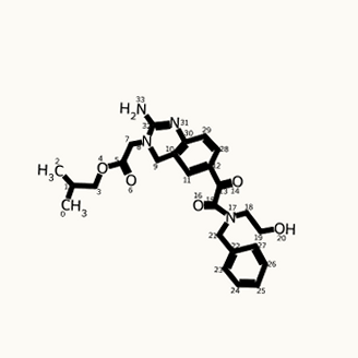 CC(C)COC(=O)CN1Cc2cc(C(=O)C(=O)N(CCO)Cc3ccccc3)ccc2N=C1N